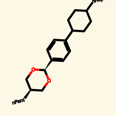 CCCCCCCC1CCC(c2ccc([C@H]3OC[C@H](CCCCC)CO3)cc2)CC1